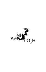 CC(=O)[C@H](N)C[C@@H](CCC[18F])C(=O)O